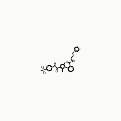 Cc1cc(C(=O)Nc2ccc(S(C)(=O)=O)cc2)c(C)n1-c1ccccc1C(=O)NCCCn1ccnc1